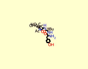 CC[C@H](C)[C@H](NC(=O)[C@@H](N)Cc1ccc(O)cc1)C(=O)N[C@@H](C)C(=O)N(C(C)=O)[C@H](CC=O)CC(=O)O